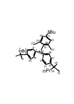 CCCCC(C)(C)c1ccc(N(c2ccc(C(C)(C)CCC)cc2)c2c(C)cc(C(C)(C)C)cc2C)cc1